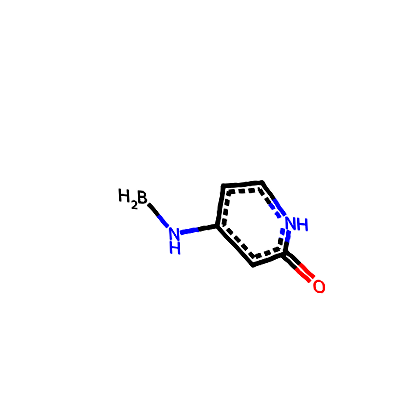 BNc1cc[nH]c(=O)c1